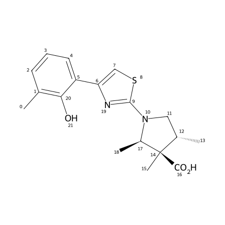 Cc1cccc(-c2csc(N3C[C@H](C)[C@@](C)(C(=O)O)[C@H]3C)n2)c1O